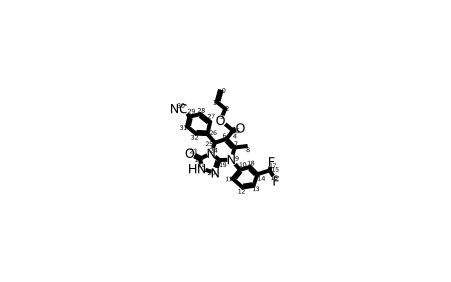 C=CCOC(=O)C1=C(C)N(c2cccc(C(F)F)c2)c2n[nH]c(=O)n2C1c1ccc(C#N)cc1